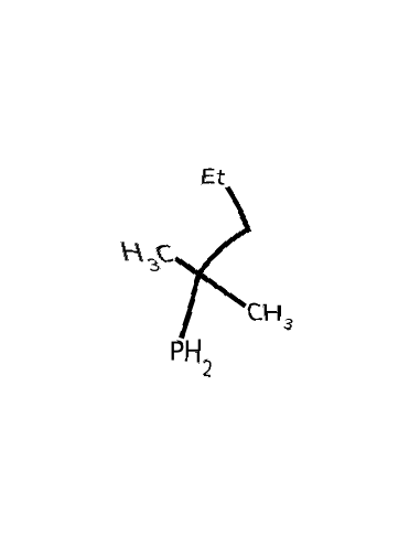 CCCC(C)(C)P